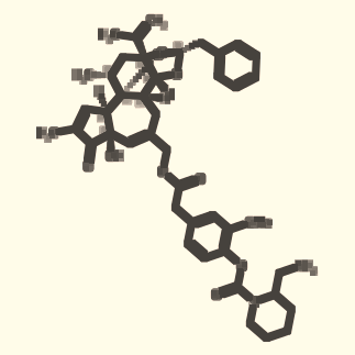 C=C(C)[C@]12C[C@@H](C)[C@@]34O[C@](Cc5ccccc5)(O[C@@H]1[C@@H]3CC(COC(=O)Cc1ccc(OC(=O)N3CCCCC3CN)c(OC)c1)=C[C@]1(O)C(=O)C(C)=C[C@@H]41)O2